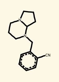 N#Cc1ccccc1CN1CCCN2CCCC21